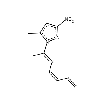 C=C/C=C\N=C(/C)n1nc([N+](=O)[O-])cc1C